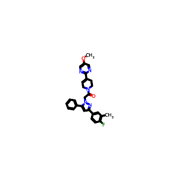 COc1cnc(C2=CCN(C(=O)Cn3nc(-c4ccc(F)c(C)c4)cc3-c3ccccc3)CC2)nc1